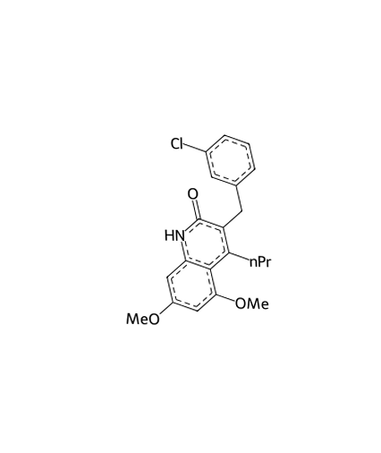 CCCc1c(Cc2cccc(Cl)c2)c(=O)[nH]c2cc(OC)cc(OC)c12